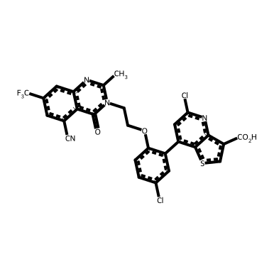 Cc1nc2cc(C(F)(F)F)cc(C#N)c2c(=O)n1CCOc1ccc(Cl)cc1-c1cc(Cl)nc2c(C(=O)O)csc12